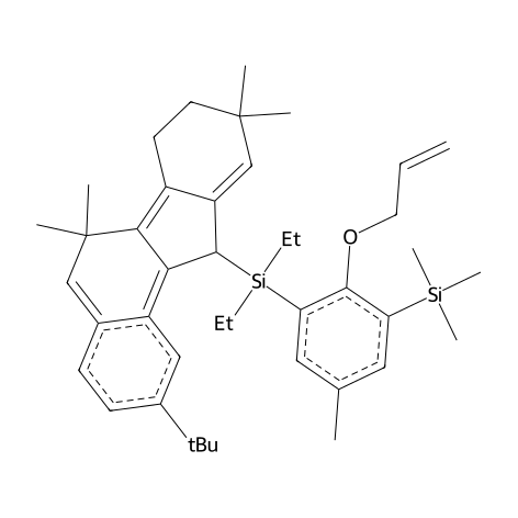 C=CCOc1c([Si](C)(C)C)cc(C)cc1[Si](CC)(CC)C1C2=CC(C)(C)CCC2=C2C1=c1cc(C(C)(C)C)ccc1=CC2(C)C